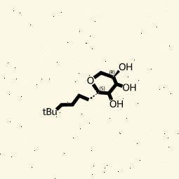 CC(C)(C)CCCC[C@@H]1OC[C@@H](O)C(O)C1O